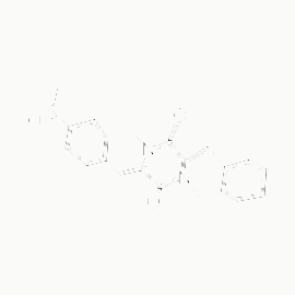 Cn1c(=O)/c(=C/c2ccc([S+](C)[O-])cc2)n(C)c(=O)/c1=C/c1ccccc1